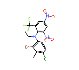 CCN(c1ccc(Cl)c(C)c1Br)c1c([N+](=O)[O-])cc([N+](=O)[O-])cc1C(F)(F)F